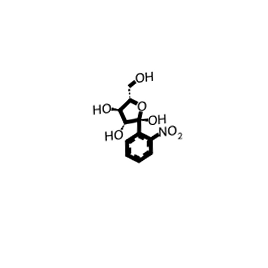 O=[N+]([O-])c1ccccc1[C@@]1(O)O[C@@H](CO)[C@H](O)[C@H]1O